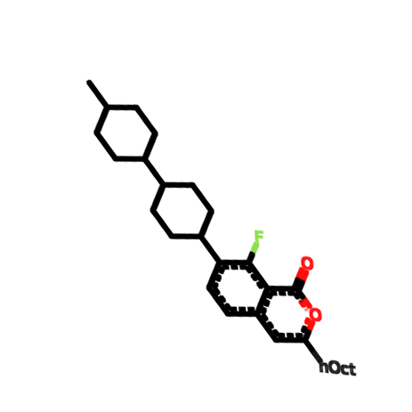 CCCCCCCCc1cc2ccc(C3CCC(C4CCC(C)CC4)CC3)c(F)c2c(=O)o1